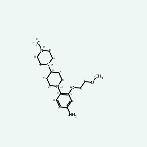 COCCOc1cc(N)ccc1N1CCC(N2CCN(C)CC2)CC1